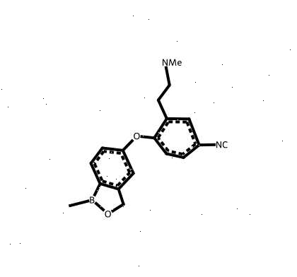 [C-]#[N+]c1ccc(Oc2ccc3c(c2)COB3C)c(CCNC)c1